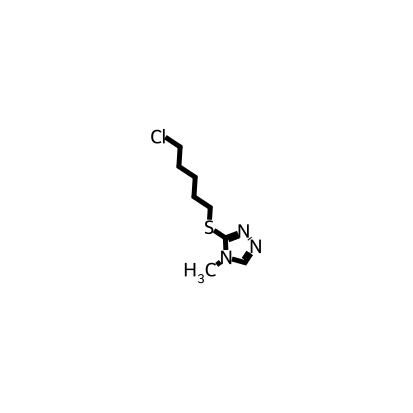 Cn1cnnc1SCCCCCCl